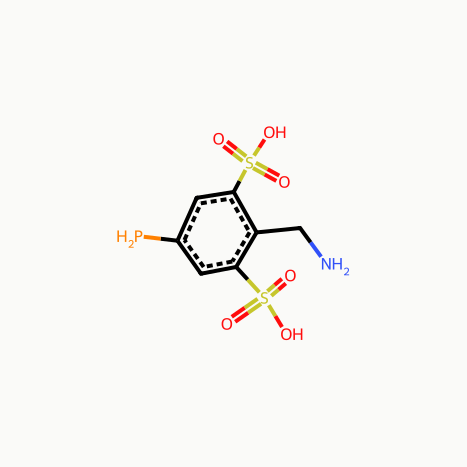 NCc1c(S(=O)(=O)O)cc(P)cc1S(=O)(=O)O